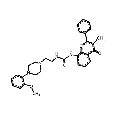 COc1ccccc1N1CCN(CCNC(=O)Nc2cccc3c(=O)c(C)c(-c4ccccc4)oc23)CC1